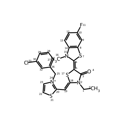 CCn1c(=O)/c(=C2\Sc3cc(F)ccc3N2C)s/c1=C\c1scc[n+]1Cc1cccc(Cl)c1